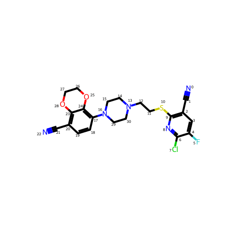 N#Cc1cc(F)c(Cl)nc1SCCN1CCN(c2ccc(C#N)c3c2OCCO3)CC1